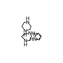 C1CNCCN1.C1CNCCN1.c1cn[nH]c1